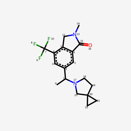 CC(c1cc2c(c(C(F)(F)F)c1)CN(C)C2=O)N1CCC2(CC2)C1